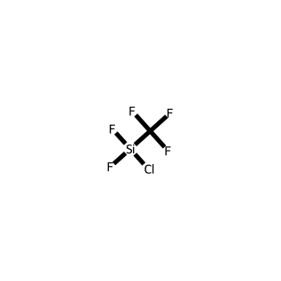 FC(F)(F)[Si](F)(F)Cl